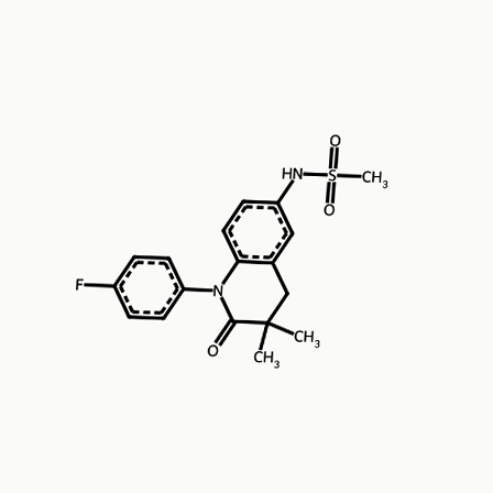 CC1(C)Cc2cc(NS(C)(=O)=O)ccc2N(c2ccc(F)cc2)C1=O